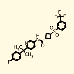 CC(C)(c1ccc(F)cc1)c1ccc(NC(=O)[C@H]2C[C@H](S(=O)(=O)c3cccc(C(F)(F)F)c3)C2)cn1